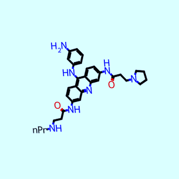 CCCNCCC(=O)Nc1ccc2c(Nc3cccc(N)c3)c3ccc(NC(=O)CCN4CCCC4)cc3nc2c1